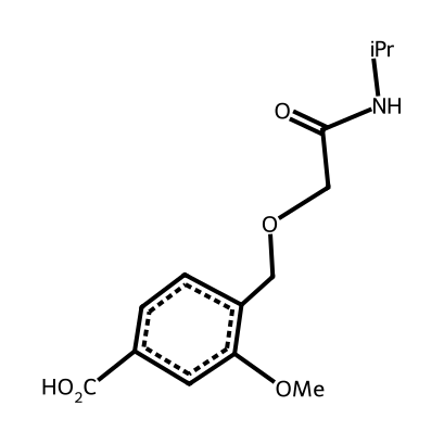 COc1cc(C(=O)O)ccc1COCC(=O)NC(C)C